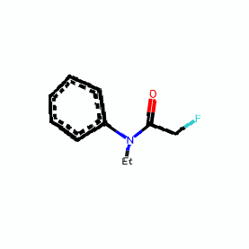 CCN(C(=O)CF)c1ccccc1